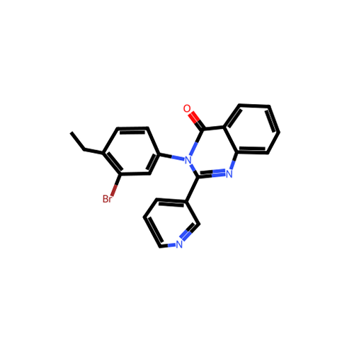 CCc1ccc(-n2c(-c3cccnc3)nc3ccccc3c2=O)cc1Br